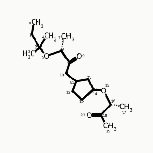 CCC(C)(C)O[C@H](C)C(=O)CC1CCC(O[C@H](C)C(C)=O)C1